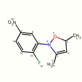 CC1=CC(C)ON1c1cc([N+](=O)[O-])ccc1F